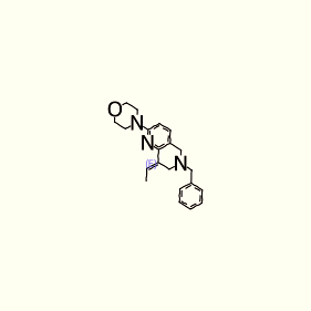 C/C=C1\CN(Cc2ccccc2)Cc2ccc(N3CCOCC3)nc21